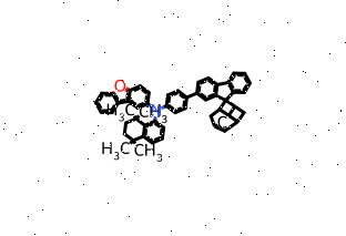 CC1(C)CCC(C)(C)c2c(N(c3ccc(-c4ccc5c(c4)C4(c6ccccc6-5)C5CC6CC7CC4C75C6)cc3)c3ccc4oc5ccccc5c4c3)cccc21